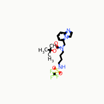 CC(C)(C)OC(=O)N(CCCCNS(=O)(=O)C(F)(F)F)Cc1cccc2nccn12